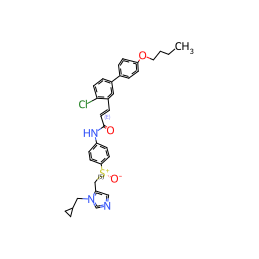 CCCCOc1ccc(-c2ccc(Cl)c(/C=C/C(=O)Nc3ccc([S@+]([O-])Cc4cncn4CC4CC4)cc3)c2)cc1